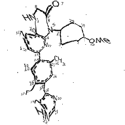 COC1CCC(N2C(=O)CNc3ncc(-c4cc(F)c(-c5nc[nH]n5)cc4C)nc32)CC1